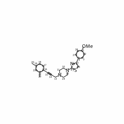 COc1ccc(-c2csc(N3CCN(CC#Cc4ccc(C)cc4C)CC3)n2)cc1